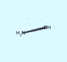 NCCCCCCCCCCCCCCCCCCCCCCCCCO